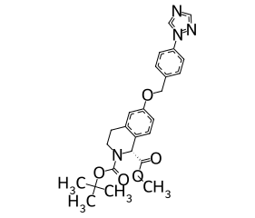 COC(=O)[C@H]1c2ccc(OCc3ccc(-n4cncn4)cc3)cc2CCN1C(=O)OC(C)(C)C